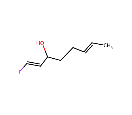 CC=CCCC(O)/C=C/I